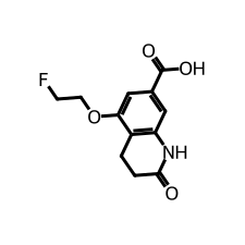 O=C1CCc2c(cc(C(=O)O)cc2OCCF)N1